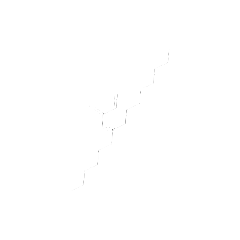 C=CC(=O)OC.CCCCCCCCCCCCCCC